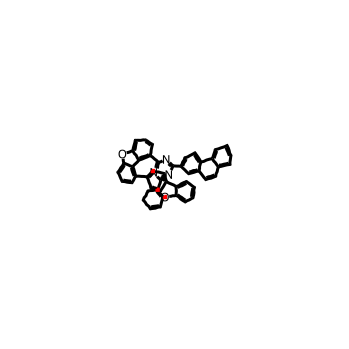 C1=CCCC(c2nc(-c3ccc4c(ccc5ccccc54)c3)nc(-c3cccc4oc5cccc(-c6ccc7c(c6)oc6ccccc67)c5c34)n2)=C1